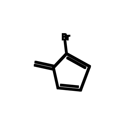 C=C1C=CC=C1Br